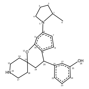 CC1CCCN1c1ccc2c(c1)OC1(CCNCC1)CC2c1cccc(O)c1